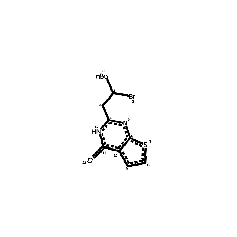 CCCCC(Br)Cc1nc2sccc2c(=O)[nH]1